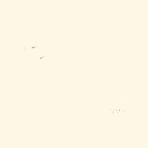 CNS(=O)(=O)Oc1ccc2c(c1)CCC1C2CC[C@@]2(C)C1CC[C@@H]2O